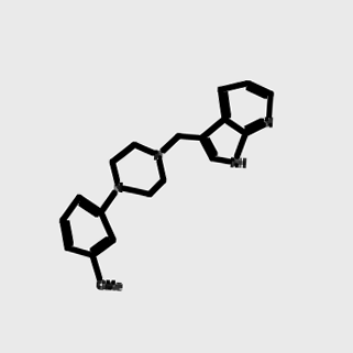 COc1cccc(N2CCN(Cc3c[nH]c4ncccc34)CC2)c1